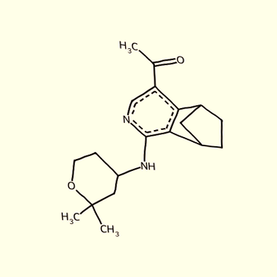 CC(=O)c1cnc(NC2CCOC(C)(C)C2)c2c1C1CCC2C1